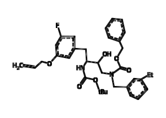 C=CCOc1cc(F)cc(CC(NC(=O)OC(C)(C)C)C(O)CN(Cc2cccc(CC)c2)C(=O)OCc2ccccc2)c1